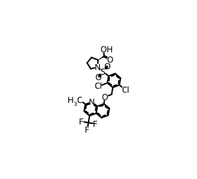 Cc1cc(C(F)(F)F)c2cccc(OCc3c(Cl)ccc(S(=O)(=O)N4CCC[C@H]4C(=O)O)c3Cl)c2n1